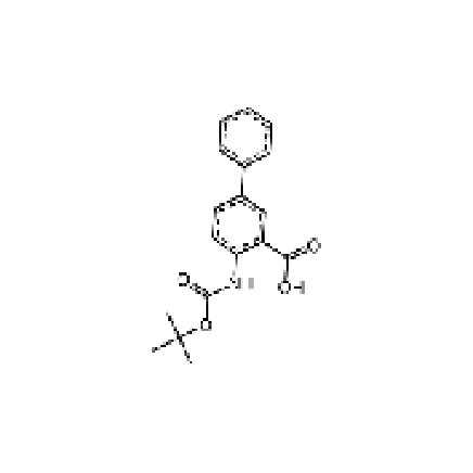 CC(C)(C)OC(=O)Nc1ccc(-c2ccccc2)cc1C(=O)O